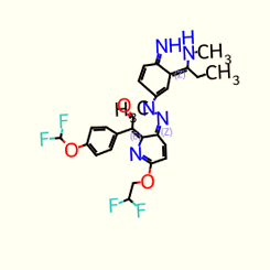 CC/C(NC)=C1\C=C(N(C)/N=C2/C=CC(OCC(F)F)=N/C2=C(/C=O)c2ccc(OC(F)F)cc2)C=CC1=N